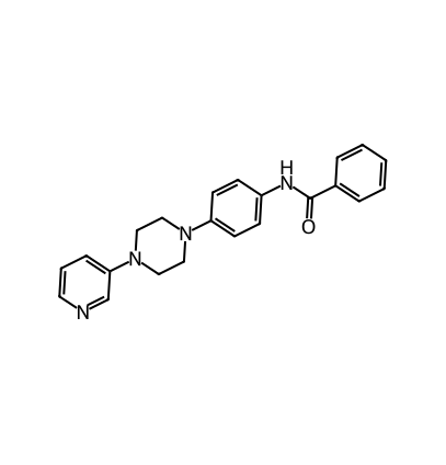 O=C(Nc1ccc(N2CCN(c3cccnc3)CC2)cc1)c1ccccc1